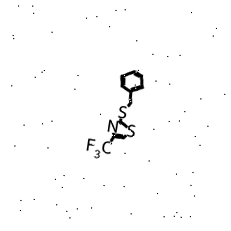 FC(F)(F)c1csc(SCc2ccccc2)n1